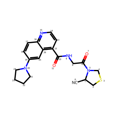 N#CC1CSCN1C(=O)CNC(=O)c1ccnc2ccc(N3CCCC3)cc12